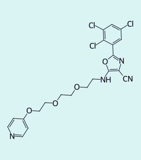 N#Cc1nc(-c2cc(Cl)cc(Cl)c2Cl)oc1NCCOCCOCCOc1ccncc1